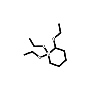 CCOC1CCCC[Si]1(OCC)OCC